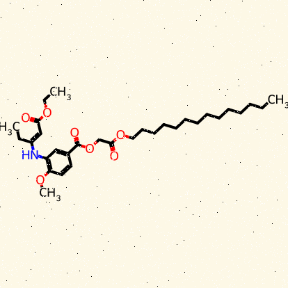 CCCCCCCCCCCCCCOC(=O)COC(=O)c1ccc(OC)c(NC(=CC(=O)OCC)CC)c1